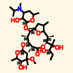 CC[C@@H](O)[C@@](C)(O)[C@@H]1OC(=O)[C@H](C)[C@H](O[C@H]2CC(C)(OC)[C@@H](O)C(C)O2)[C@H](C)[C@@H](O[C@@H]2OC(C)CC(N(C)C(C)C)C2O)[C@@]2(C)CC(C)C(O2)[C@@H]1C